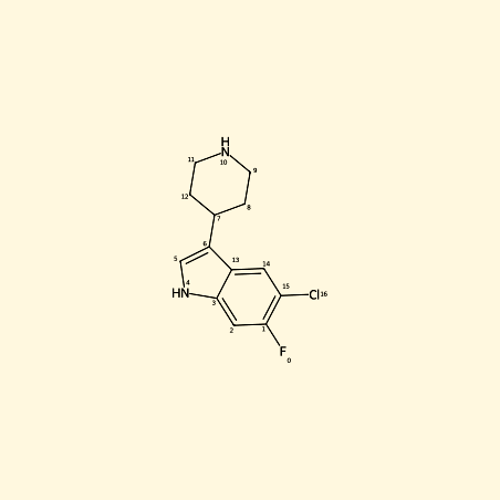 Fc1cc2[nH]cc(C3CCNCC3)c2cc1Cl